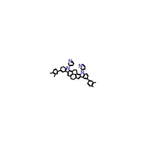 Cc1ccc(C2=Cc3c(n(-c4cccnc4)c4c5c6c(cc34)CCc3cc4c7cc(-c8ccc(C)c(C)c8)ccc7n(-c7cccnc7)c4c(c3-6)CC5)CC2)cc1C